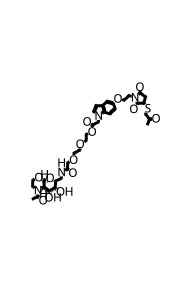 CC(=O)CSC1CC(=O)N(CCOc2ccc3c(ccn3CC(=O)OCCOCCOCC(=O)NCC3O[C@@H]4OCCN(C(C)=O)[C@@H]4[C@@H](O)[C@H]3O)c2)C1=O